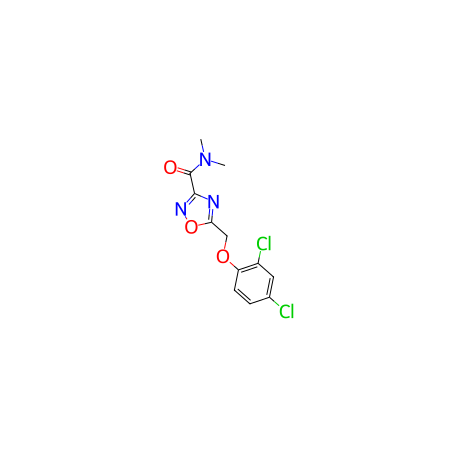 CN(C)C(=O)c1noc(COc2ccc(Cl)cc2Cl)n1